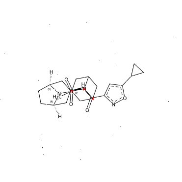 CN1CC2CC(C1)N2S(=O)(=O)N1[C@@H]2CC[C@H]1C[C@@H](NC(=O)c1cc(C3CC3)on1)C2